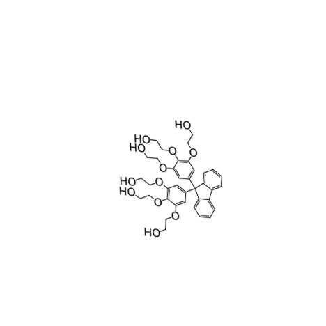 OCCOc1cc(C2(c3cc(OCCO)c(OCCO)c(OCCO)c3)c3ccccc3-c3ccccc32)cc(OCCO)c1OCCO